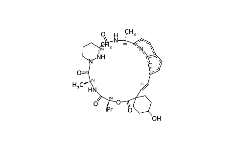 CC(C)[C@@H]1OC(=O)C2(/C=C/c3ccc4ccc(nc4c3)[C@@H](C)NC(=O)[C@]3(C)CCCN(N3)C(=O)[C@H](C)NC1=O)CCC(O)CC2